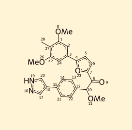 COc1cc(-c2ccc(C(=O)C(OC)c3ccc(-c4cn[nH]c4)cc3)o2)cc(OC)c1C